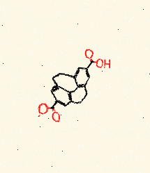 COC(=O)c1cc2c3c(c1)CCc1cc(C(=O)O)cc(c1-3)CC2